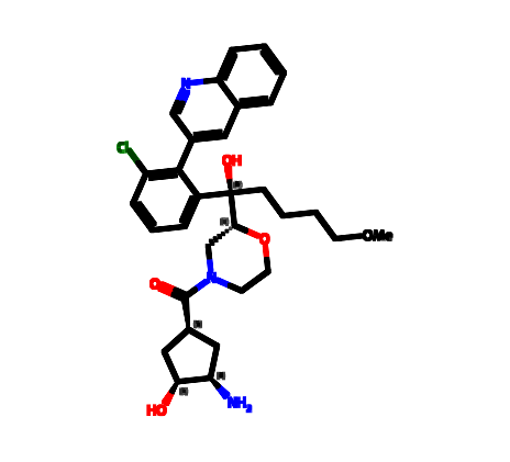 COCCCC[C@@](O)(c1cccc(Cl)c1-c1cnc2ccccc2c1)[C@H]1CN(C(=O)[C@H]2C[C@@H](N)[C@@H](O)C2)CCO1